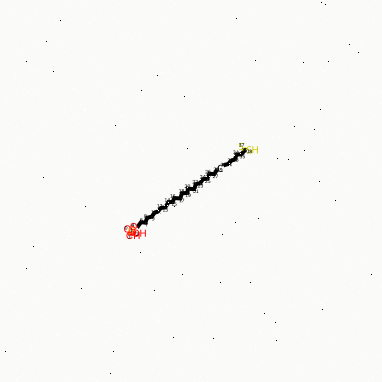 O=P(O)(O)OCCCCCCCCCCCCCCCCCCCCCCCCCCCCCCCC(=S)S